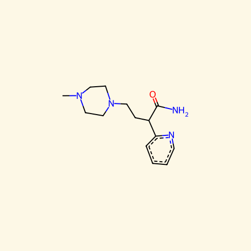 CN1CCN(CCC(C(N)=O)c2ccccn2)CC1